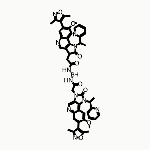 COc1cc2c3c(cnc2cc1-c1c(C)noc1C)C(CC(=O)NBNC(=O)Cn1c(=O)n(C(C)c2ccccn2)c2c4cc(OC)c(-c5c(C)noc5C)cc4ncc21)C(=O)N3C(C)c1ccccn1